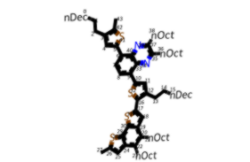 CCCCCCCCCCCCc1cc(-c2ccc(-c3cc(CCCCCCCCCCCC)c(-c4cc5c(CCCCCCCC)c(CCCCCCCC)c6cc(C)sc6c5s4)s3)c3nc(CCCCCCCC)c(CCCCCCCC)nc23)sc1C